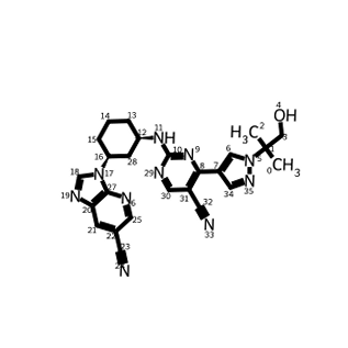 CC(C)(CO)n1cc(-c2nc(N[C@@H]3CCC[C@H](n4cnc5cc(C#N)cnc54)C3)ncc2C#N)cn1